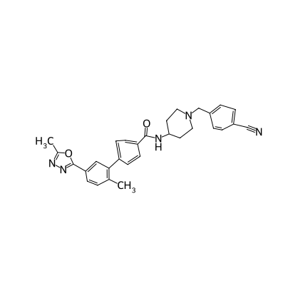 Cc1nnc(-c2ccc(C)c(-c3ccc(C(=O)NC4CCN(Cc5ccc(C#N)cc5)CC4)cc3)c2)o1